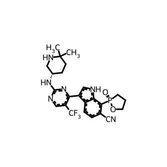 CC1(C)CC[C@H](Nc2ncc(C(F)(F)F)c(-c3c[nH]c4c(P5(=O)CCCO5)c(C#N)ccc34)n2)CN1